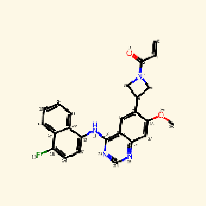 C=CC(=O)N1CC(c2cc3c(Nc4ccc(F)c5ccccc45)ncnc3cc2OC)C1